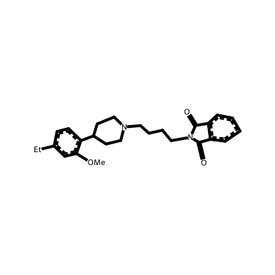 CCc1ccc(C2CCN(CCCCN3C(=O)c4ccccc4C3=O)CC2)c(OC)c1